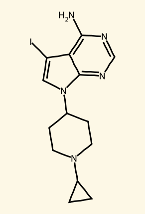 Nc1ncnc2c1c(I)cn2C1CCN(C2CC2)CC1